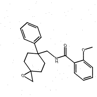 COc1ccccc1C(=O)NCC1(c2ccccc2)CCC2(CC1)CO2